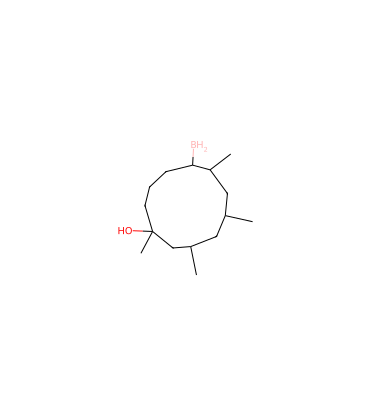 BC1CCCC(C)(O)CC(C)CC(C)CC1C